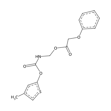 Cc1csc(OC(=O)NCOC(=O)COc2ccccc2)c1